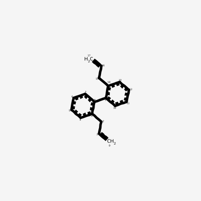 C=CCc1ccccc1-c1ccccc1CC=C